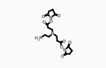 NCCN(CCC(=O)ON1C(=O)CCC1=O)CCC(=O)ON1C(=O)CCC1=O